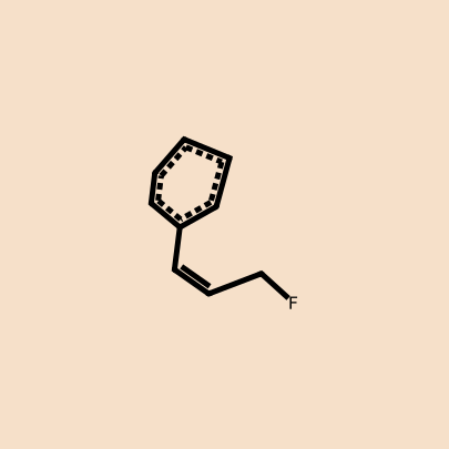 FC/C=C\c1ccccc1